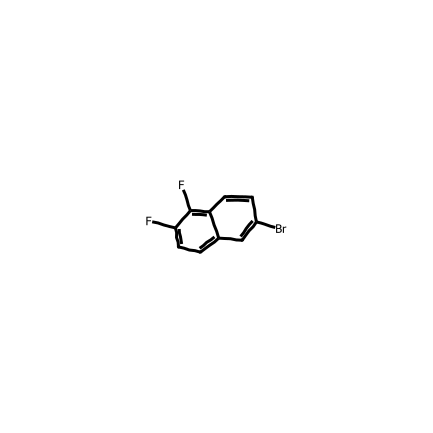 Fc1ccc2cc(Br)ccc2c1F